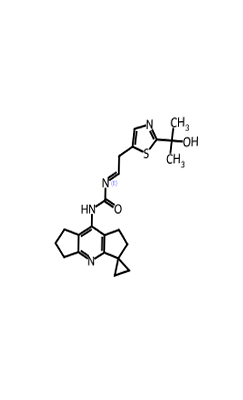 CC(C)(O)c1ncc(C/C=N/C(=O)Nc2c3c(nc4c2CCC42CC2)CCC3)s1